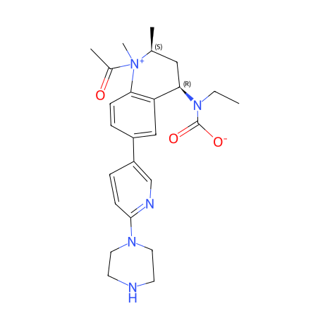 CCN(C(=O)[O-])[C@@H]1C[C@H](C)[N+](C)(C(C)=O)c2ccc(-c3ccc(N4CCNCC4)nc3)cc21